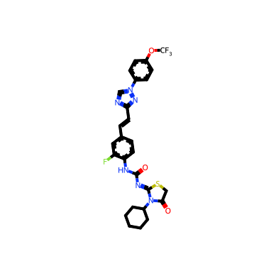 O=C(N=C1SCC(=O)N1C1CCCCC1)Nc1ccc(C=Cc2ncn(-c3ccc(OC(F)(F)F)cc3)n2)cc1F